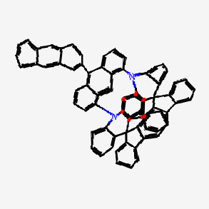 c1ccc2c(c1)-c1ccccc1C21c2ccccc2N(c2cccc3c(-c4ccc5cc6ccccc6cc5c4)c4cccc(N5c6ccccc6C6(c7ccccc7-c7ccccc76)c6ccccc65)c4cc23)c2ccccc21